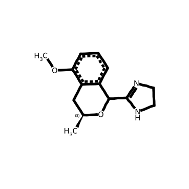 COc1cccc2c1C[C@H](C)OC2C1=NCCN1